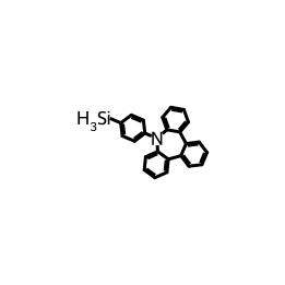 [SiH3]c1ccc(N2c3ccccc3-c3ccccc3-c3ccccc32)cc1